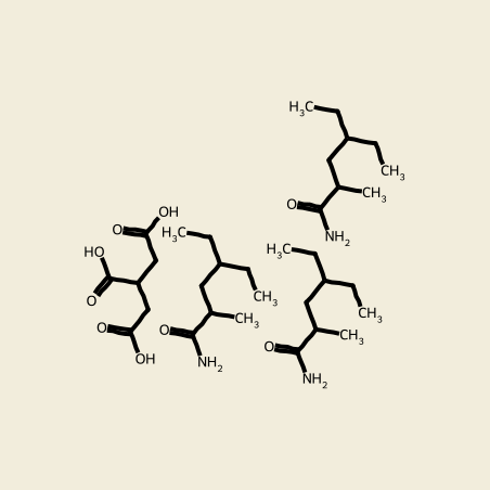 CCC(CC)CC(C)C(N)=O.CCC(CC)CC(C)C(N)=O.CCC(CC)CC(C)C(N)=O.O=C(O)CC(CC(=O)O)C(=O)O